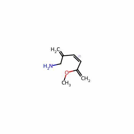 C=C(/C=C\C(=C)OC)CN